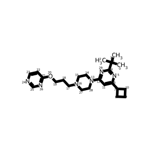 CC(C)(C)c1nc(C2CCC2)cc(N2CCN(CCCOc3ccncn3)CC2)n1